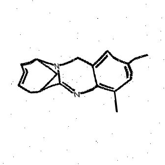 Cc1cc(C)c2c(c1)CN1C(=N2)C2C=CC1C2